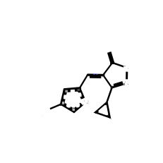 CCOC(=O)c1c[nH]c(/C=C2/C(=O)NN=C2C2CC2)c1